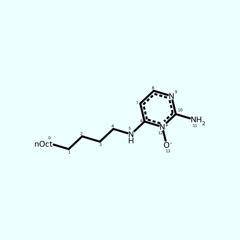 CCCCCCCCCCCCNc1ccnc(N)[n+]1[O-]